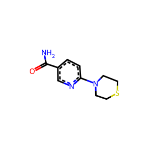 NC(=O)c1ccc(N2CCSCC2)nc1